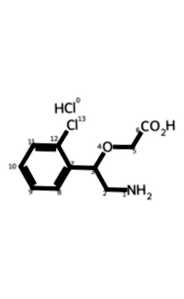 Cl.NCC(OCC(=O)O)c1ccccc1Cl